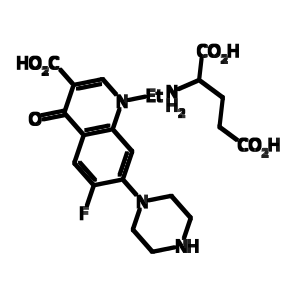 CCn1cc(C(=O)O)c(=O)c2cc(F)c(N3CCNCC3)cc21.NC(CCC(=O)O)C(=O)O